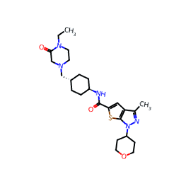 CCN1CCN(C[C@H]2CC[C@H](NC(=O)c3cc4c(C)nn(C5CCOCC5)c4s3)CC2)CC1=O